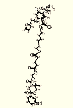 C[C@@H]1N(C(=O)OCOC(=O)CCCC(=O)OCCCCCCOC(=O)c2cc(S(N)(=O)=O)c(Cl)cc2NCc2ccco2)C(C)(C)CO[C@@]1(O)c1cccc(Cl)c1